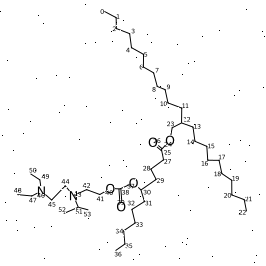 CCCCCCCCCCCCC(CCCCCCCCCC)COC(=O)CCCC(CCCCCC)OC(=O)OCCN(CCN(CC)CC)C(C)C